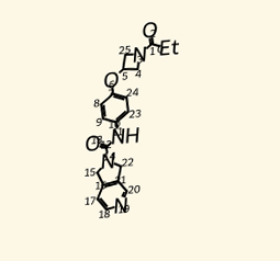 CCC(=O)N1CC(Oc2ccc(NC(=O)N3Cc4ccncc4C3)cc2)C1